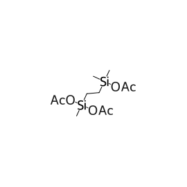 CC(=O)O[Si](C)(C)CC[Si](C)(OC(C)=O)OC(C)=O